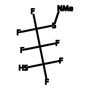 CNSC(F)(F)C(F)(F)C(F)(F)S